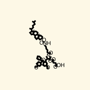 COc1ccc(C(OCC2CN(C(=O)CCCCCNC(=O)OC3CC[C@]4(C)C(=CCC5C6CCC(C(C)CCCC(C)C)[C@]6(C)CCC54)C3)CC2OC(=O)CCC(=O)O)(c2ccccc2)c2ccc(OC)cc2)cc1